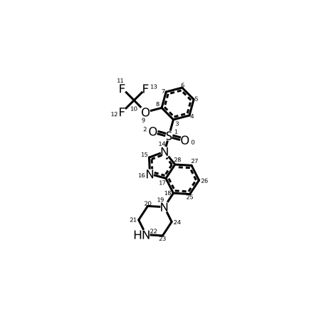 O=S(=O)(c1ccccc1OC(F)(F)F)n1cnc2c(N3CCNCC3)cccc21